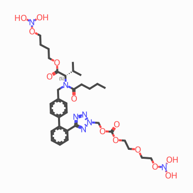 CCCCC(=O)N(Cc1ccc(-c2ccccc2-c2nnn(COC(=O)OCCOCCON(O)O)n2)cc1)[C@H](C(=O)OCCCCON(O)O)C(C)C